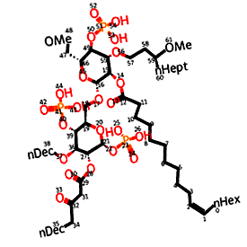 CCCCCC/C=C\CCCCCCCCCC(=O)O[C@H]1[C@H](OC[C@H]2O[C@H](OP(=O)(O)O)[C@H](OC(=O)CC(=O)CCCCCCCCCCC)[C@@H](OCCCCCCCCCC)[C@@H]2OP(=O)(O)O)O[C@H](COC)[C@@H](OP(=O)(O)O)[C@@H]1OCC[C@H](CCCCCCC)OC